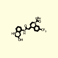 CCCCC(=O)N1C=CC(=CC(=O)Nc2cccc3c2CC(O)CN3)c2ccc(C(F)(F)F)cc21